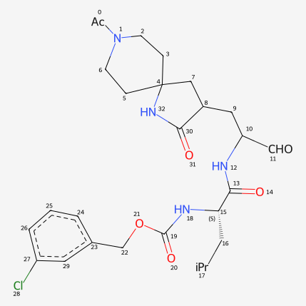 CC(=O)N1CCC2(CC1)CC(CC(C=O)NC(=O)[C@H](CC(C)C)NC(=O)OCc1cccc(Cl)c1)C(=O)N2